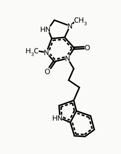 CN1CNc2c1c(=O)n(CCCc1c[nH]c3ccccc13)c(=O)n2C